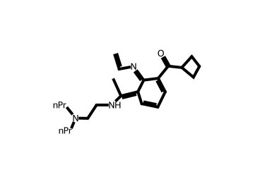 C=C/N=C1/C(C(=O)C2CCC2)=CC=C/C1=C(/C)NCCN(CCC)CCC